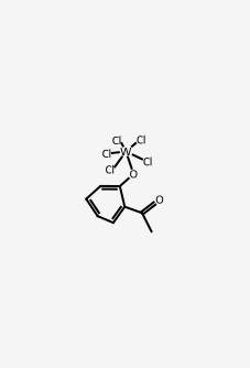 CC(=O)c1ccccc1[O][W]([Cl])([Cl])([Cl])([Cl])[Cl]